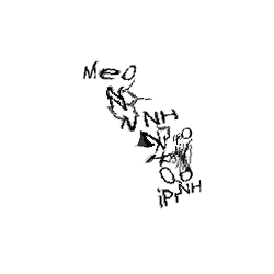 COCc1nn2ccnc(Nc3cc([C@@H]4OC[C@H](OC(=O)NC(C)C)[C@H]4F)[nH]n3)c2c1C